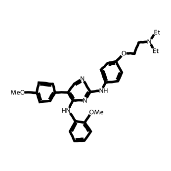 CCN(CC)CCOc1ccc(Nc2ncc(-c3ccc(OC)cc3)c(Nc3ccccc3OC)n2)cc1